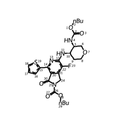 CCCCOC(=O)N[C@H]1COCC[C@H]1Nc1nc(-c2cccs2)c2c(c1F)CN(C(=O)OCCCC)C2=O